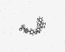 Cc1ncccc1NC(=O)Nc1ccc(Oc2ccc(-c3cnc(N4CCC4=O)s3)cc2)nc1